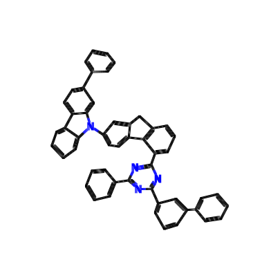 c1ccc(-c2cccc(-c3nc(-c4ccccc4)nc(-c4cccc5c4-c4ccc(-n6c7ccccc7c7ccc(-c8ccccc8)cc76)cc4C5)n3)c2)cc1